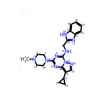 CN1CCN(c2nc(NCc3nc4ccccc4[nH]3)n3ncc(C4CC4)c3n2)CC1